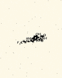 O=C1CN(c2c(O)cc3c(c2F)C[C@H](CNCCC(F)(F)F)N3)S(=O)(=O)N1